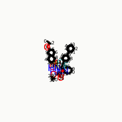 CC(C)Oc1ccc2cc(S(=O)(=O)NC(C(=O)N3C4CCC3CC(NC(=O)OC(C)(C)C)C4)C(F)(F)c3ccc(-c4ccccc4)cc3)ccc2c1